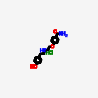 Cl.NC(=O)c1ccc(OCCNCCc2ccc(O)cc2)cc1